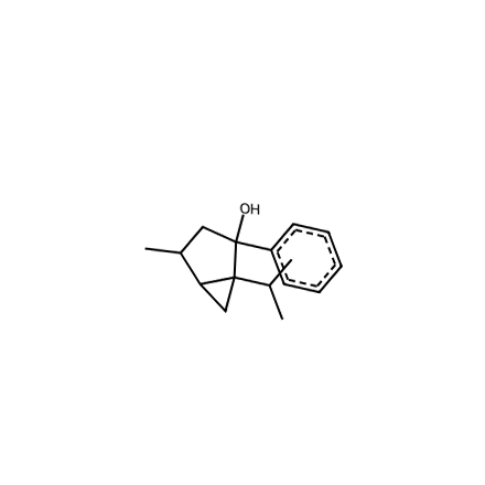 CC1CC(O)(c2ccccc2)C2(C(C)C)CC12